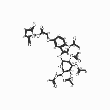 CC(=O)OC[C@H]1O[C@@H](Oc2cn(C(C)=O)c3ccc(OCC(=O)ON4C(=O)CCC4=O)cc23)[C@H](OC(C)=O)[C@@H](OC(C)=O)[C@H]1OC(C)=O